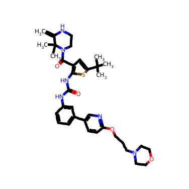 C=C1NCCN(C(=O)c2cc(C(C)(C)C)sc2NC(=O)Nc2cccc(-c3ccc(OCCCN4CCOCC4)nc3)c2)C1(C)C